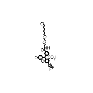 O=C(NCCOCCOCCCCCCCl)c1ccc(C(=O)O)c(-c2c3ccc(=O)cc-3oc3cc(N4CC(F)(F)C4)ccc23)c1